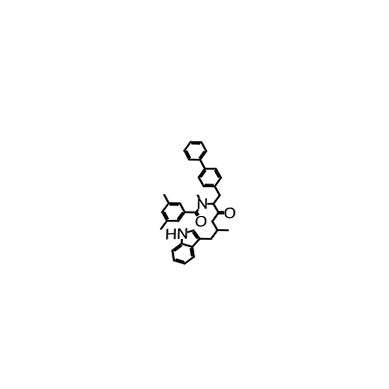 Cc1cc(C)cc(C(=O)N(C)C(Cc2ccc(-c3ccccc3)cc2)C(=O)CC(C)Cc2c[nH]c3ccccc23)c1